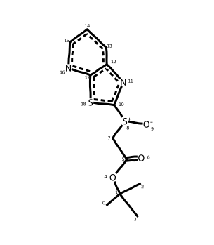 CC(C)(C)OC(=O)C[S+]([O-])c1nc2cccnc2s1